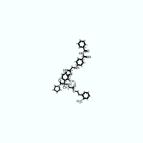 Cc1ccccc1CCOC(=O)CN[C@@](C)(C(=O)N1CCCC1)c1ccc2[nH]c(CNc3ccc(C(=N)NC(=O)c4ccccc4)cc3)nc2c1C